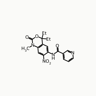 CCC1(CC)OC(=O)N(C)c2cc([N+](=O)[O-])c(NC(=O)c3cccnc3)cc21